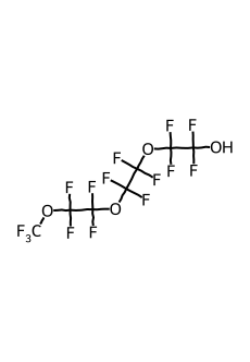 OC(F)(F)C(F)(F)OC(F)(F)C(F)(F)OC(F)(F)C(F)(F)OC(F)(F)F